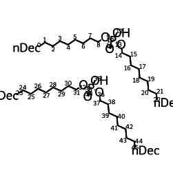 CCCCCCCCCCCCCCCCCCOP(=O)(O)OCCCCCCCCCCCCCCCCCC.CCCCCCCCCCCCCCCCCCOP(=O)(O)OCCCCCCCCCCCCCCCCCC